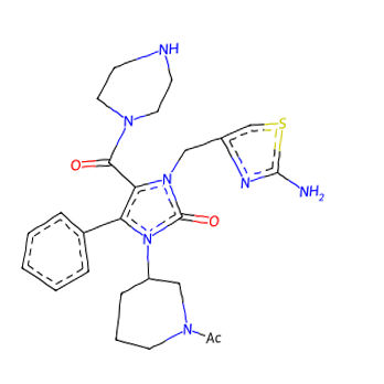 CC(=O)N1CCCC(n2c(-c3ccccc3)c(C(=O)N3CCNCC3)n(Cc3csc(N)n3)c2=O)C1